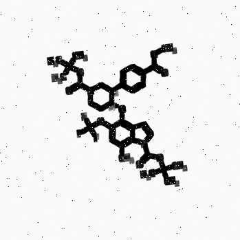 COC(=O)c1ccc([C@@H]2CN(C(=O)OC(C)(C)C)CC[C@H]2Oc2c(OC(F)(F)F)cc(C)c3c2ccn3C(=O)OC(C)(C)C)cc1